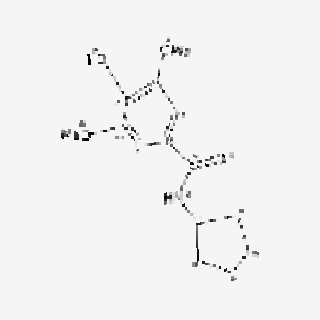 COc1cc(C(=O)NC2CCCC2)cc(OC)c1O